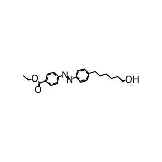 CCOC(=O)c1ccc(N=Nc2ccc(CCCCCCO)cc2)cc1